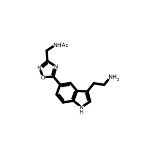 CC(=O)NCc1noc(-c2ccc3[nH]cc(CCN)c3c2)n1